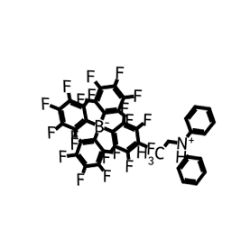 CC[NH+](c1ccccc1)c1ccccc1.Fc1c(F)c(F)c([B-](c2c(F)c(F)c(F)c(F)c2F)(c2c(F)c(F)c(F)c(F)c2F)c2c(F)c(F)c(F)c(F)c2F)c(F)c1F